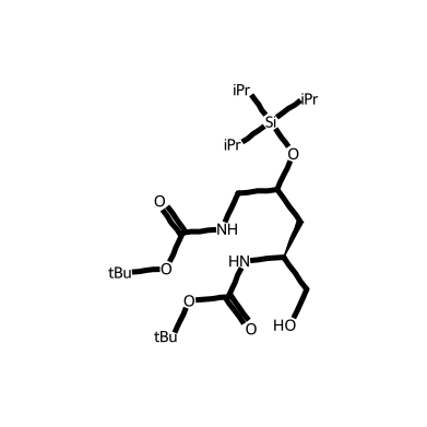 CC(C)[Si](OC(CNC(=O)OC(C)(C)C)C[C@@H](CO)NC(=O)OC(C)(C)C)(C(C)C)C(C)C